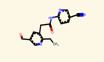 CCc1ncc(C=O)cc1CC(=O)Nc1ccc(C#N)cn1